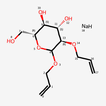 C=CCOC1O[C@H](CO)[C@@H](O)[C@H](O)[C@H]1OCC=C.[NaH]